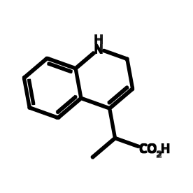 CC(C(=O)O)C1=CCNc2ccccc21